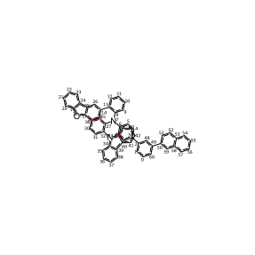 c1cc(-c2ccc(N(c3ccccc3-c3ccc4oc5ccccc5c4c3)c3ccccc3-n3c4ccccc4c4ccccc43)cc2)cc(-c2ccc3ccccc3c2)c1